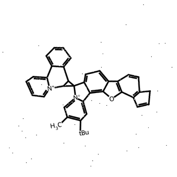 Cc1c[n+]2c(cc1C(C)(C)C)-c1c(ccc3c1oc1c4c(ccc13)CC=C4)C21C2c3ccccc3-c3cccc[n+]3C21